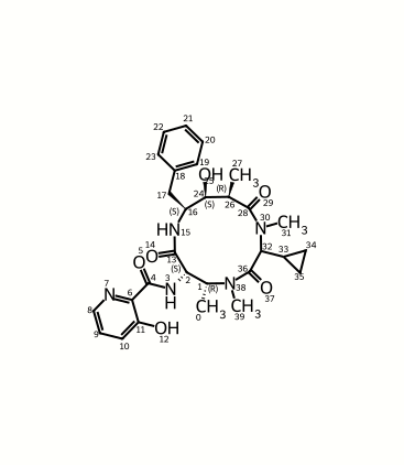 C[C@@H]1[C@H](NC(=O)c2ncccc2O)C(=O)N[C@@H](Cc2ccccc2)[C@@H](O)[C@@H](C)C(=O)N(C)C(C2CC2)C(=O)N1C